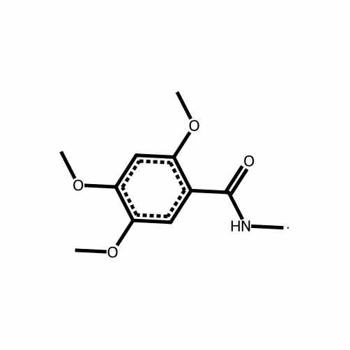 [CH2]NC(=O)c1cc(OC)c(OC)cc1OC